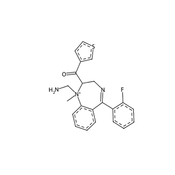 C[N+]1(CN)c2ccccc2C(c2ccccc2F)=NCC1C(=O)c1ccsc1